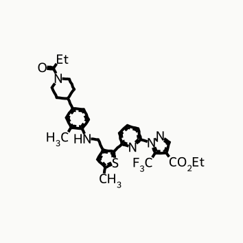 CCOC(=O)c1cnn(-c2cccc(-c3sc(C)cc3CNc3ccc(C4CCN(C(=O)CC)CC4)cc3C)n2)c1C(F)(F)F